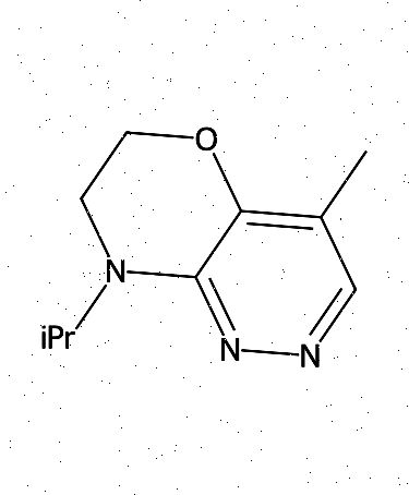 Cc1cnnc2c1OCCN2C(C)C